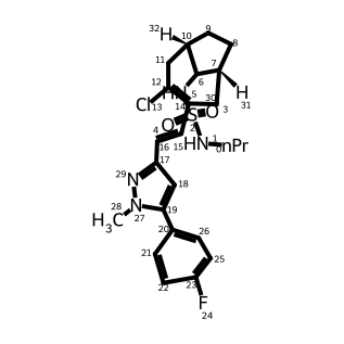 CCCNS(=O)(=O)NC1[C@@H]2CC[C@H]1CC(Cl)=C(/C=C/c1cc(-c3ccc(F)cc3)n(C)n1)C2